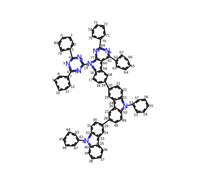 c1ccc(-c2nc(-c3ccccc3)nc(-n3c4ccc(-c5ccc6c(c5)c5cc(-c7ccc8c(c7)c7ccccc7n8-c7ccccc7)ccc5n6-c5ccccc5)cc4c4c(-c5ccccc5)nc(-c5ccccc5)nc43)n2)cc1